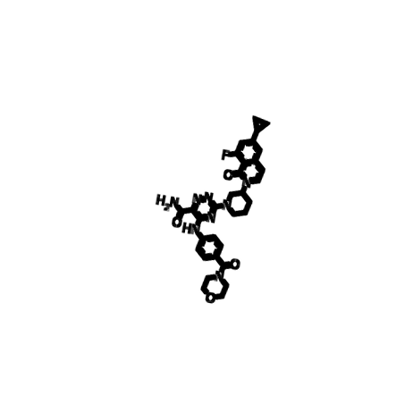 NC(=O)c1nnc(N2CCCC(n3ccc4cc(C5CC5)cc(F)c4c3=O)C2)nc1Nc1ccc(C(=O)N2CCOCC2)cc1